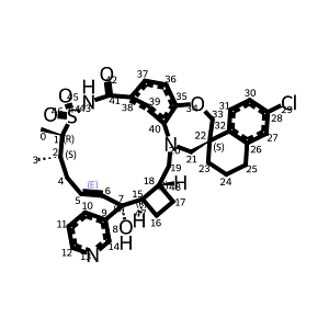 C[C@@H]1[C@@H](C)C/C=C/[C@](O)(c2cccnc2)[C@@H]2CC[C@H]2CN2C[C@@]3(CCCc4cc(Cl)ccc43)COc3ccc(cc32)C(=O)NS1(=O)=O